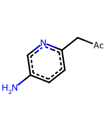 CC(=O)Cc1ccc(N)cn1